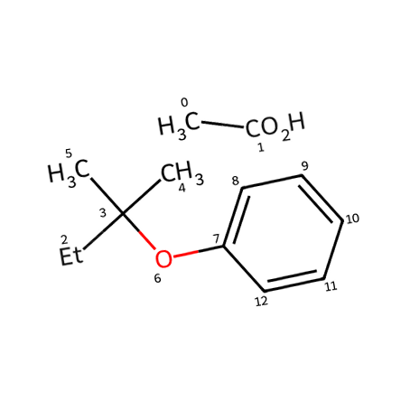 CC(=O)O.CCC(C)(C)Oc1ccccc1